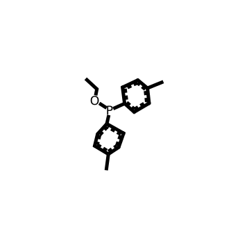 CCOP(c1ccc(C)cc1)c1ccc(C)cc1